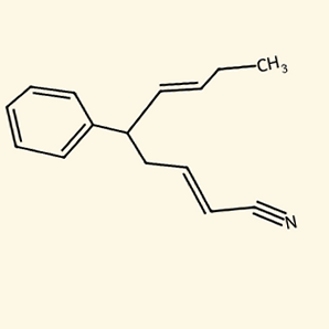 CCC=CC(CC=CC#N)c1ccccc1